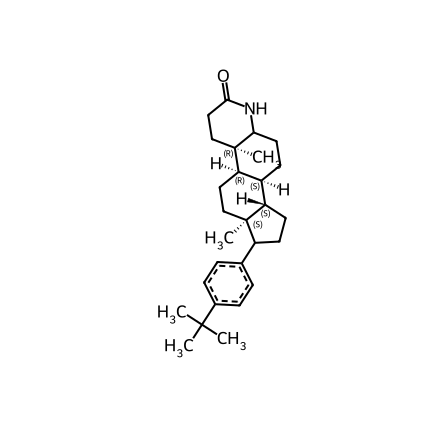 CC(C)(C)c1ccc(C2CC[C@H]3[C@@H]4CCC5NC(=O)CC[C@]5(C)[C@@H]4CC[C@]23C)cc1